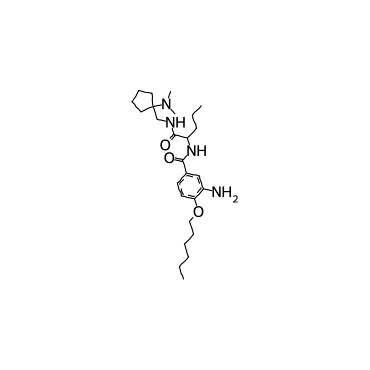 CCCCCCOc1ccc(C(=O)NC(CCC)C(=O)NCC2(N(C)C)CCCC2)cc1N